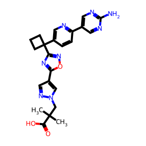 CC(C)(Cn1cc(-c2nc(C3(c4ccc(-c5cnc(N)nc5)nc4)CCC3)no2)cn1)C(=O)O